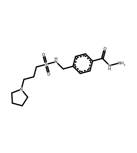 NNC(=O)c1ccc(CNS(=O)(=O)CCCN2CCCC2)cc1